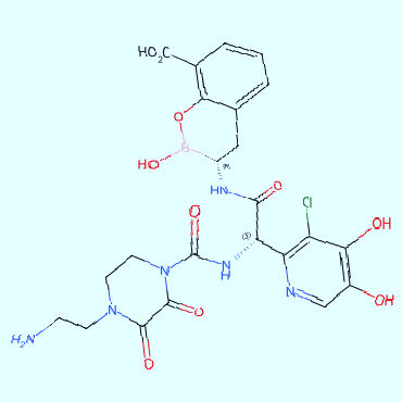 NCCN1CCN(C(=O)N[C@H](C(=O)N[C@H]2Cc3cccc(C(=O)O)c3OB2O)c2ncc(O)c(O)c2Cl)C(=O)C1=O